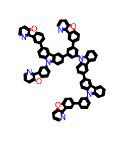 c1cc(-c2ccc3oc4cccnc4c3c2)cc(-n2c3ccccc3c3cc(-c4ccc5c(c4)c4ccccc4n5-c4cc(-c5ccc6oc7cccnc7c6c5)cc(-c5ccc6c(c5)c5cc(-c7ccc8oc9cccnc9c8c7)ccc5n6-c5ccc6oc7cccnc7c6c5)c4)ccc32)c1